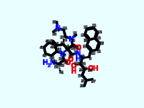 CC[C@H](C)[C@](C(=O)N[C@@H](Cc1ccc2ccccc2c1)[C@@H](O)[C@@H](O)CC(C)C)(C(=O)N(C)CCN(C)C)N(C(=O)[C@H](C)N)C1CCCCC1